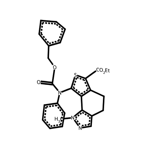 CCOC(=O)c1sc(N(C(=O)OCc2ccccc2)c2ccccc2)c2c1CCc1cnn(C)c1-2